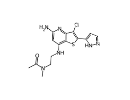 CC(=O)N(C)CCNc1cc(N)nc2c(Cl)c(-c3ccn[nH]3)sc12